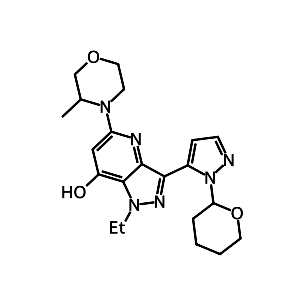 CCn1nc(-c2ccnn2C2CCCCO2)c2nc(N3CCOCC3C)cc(O)c21